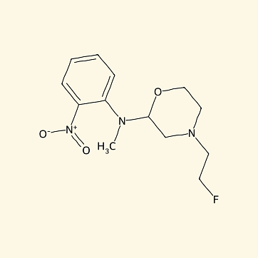 CN(c1ccccc1[N+](=O)[O-])C1CN(CCF)CCO1